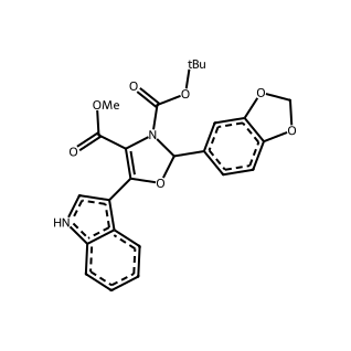 COC(=O)C1=C(c2c[nH]c3ccccc23)OC(c2ccc3c(c2)OCO3)N1C(=O)OC(C)(C)C